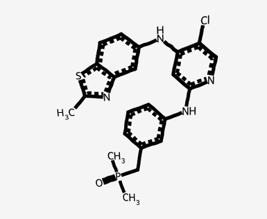 Cc1nc2cc(Nc3cc(Nc4cccc(CP(C)(C)=O)c4)ncc3Cl)ccc2s1